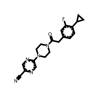 N#Cc1cnc(N2CCN(C(=O)Cc3ccc(C4CC4)c(F)c3)CC2)cn1